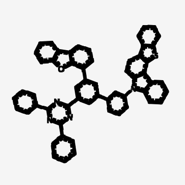 c1ccc(-c2nc(-c3ccccc3)nc(-c3cc(-c4cccc(-n5c6ccccc6c6c7sc8ccccc8c7ccc65)c4)cc(-c4cccc5c4oc4ccccc45)c3)n2)cc1